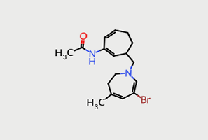 CC(=O)NC1=CC(CN2C=C(Br)C=C(C)CC2)CCC=C1